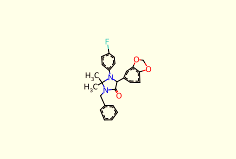 CC1(C)N(Cc2ccccc2)C(=O)C(c2ccc3c(c2)OCO3)N1c1ccc(F)cc1